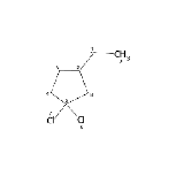 C[CH]C1CCC(Cl)(Cl)C1